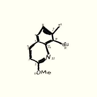 COc1ccc2ccc(F)c(C(C)(C)C)c2n1